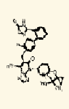 CCCc1c(Cc2ccc(-c3ccccc3-c3noc(=O)[nH]3)cc2F)c(=O)n([C@H]2CC[C@H](OC3(C(C)(C)O)CC3)CC2)c2ncnn12